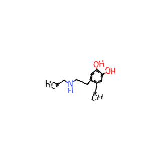 C#CCNCCc1cc(O)c(O)cc1C#C